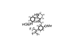 COc1ccc(C(=C(F)F)C(F)(F)F)cc1CN[C@H]1CCCN[C@H]1c1ccccc1.Cl.Cl